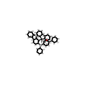 CC1(c2c(N(c3ccccc3)c3ccc(-c4ccccc4)cc3)ccc3c2oc2ccccc23)c2ccccc2-c2ccccc21